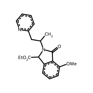 CCOC(=O)C1c2cccc(OC)c2C(=O)N1C(C)Cc1ccccn1